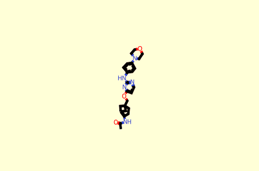 CC(=O)NC1=C2CC(COc3ccnc(Nc4ccc(N5CCOCC5)cc4)n3)(CC1)C2